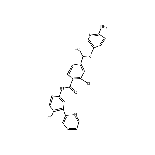 Nc1ccc(NC(O)c2ccc(C(=O)Nc3ccc(Cl)c(-c4ccccn4)c3)c(Cl)c2)cn1